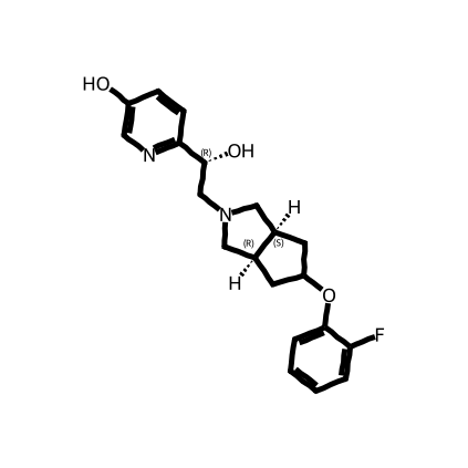 Oc1ccc([C@H](O)CN2C[C@H]3CC(Oc4ccccc4F)C[C@H]3C2)nc1